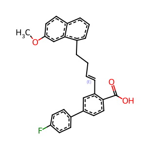 COc1ccc2cccc(CC/C=C/c3cc(-c4ccc(F)cc4)ccc3C(=O)O)c2c1